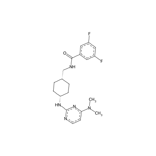 CN(C)c1ccnc(N[C@H]2CC[C@@H](CNC(=O)c3cc(F)cc(F)c3)CC2)n1